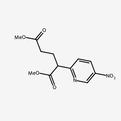 COC(=O)CCC(C(=O)OC)c1ccc([N+](=O)[O-])cn1